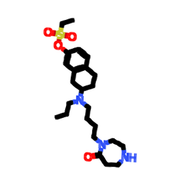 CCCN(CCCCN1CCNCCC1=O)C1CCc2ccc(OS(=O)(=O)CC)cc2C1